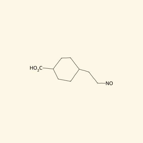 O=NCCC1CCC(C(=O)O)CC1